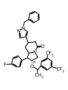 CC(O[C@H]1CN2C(=O)CC(c3cnn(Cc4ccccc4)c3)CC2C1c1ccc(F)cc1)c1cc(C(F)(F)F)cc(C(F)(F)F)c1